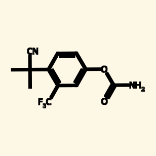 CC(C)(C#N)c1ccc(OC(N)=O)cc1C(F)(F)F